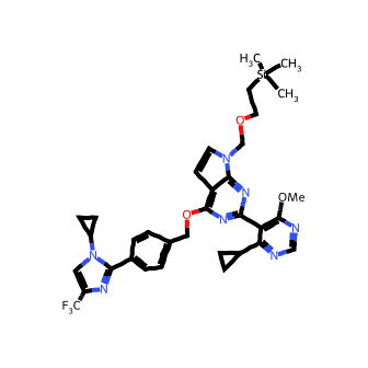 COc1ncnc(C2CC2)c1-c1nc(OCc2ccc(-c3nc(C(F)(F)F)cn3C3CC3)cc2)c2ccn(COCC[Si](C)(C)C)c2n1